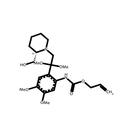 C=CCOC(=O)Nc1cc(OC)c(OC)cc1C(CN1CCCC[C@H]1CO)(OC)OC